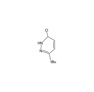 CC(C)(C)C1=NNC(Cl)C=C1